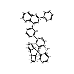 c1ccc(-c2cc(-c3cccc(-c4ccc5c(c4)C4(c6ccccc6O5)c5ccccc5-c5ccccc54)c3)c3ccccc3c2)cc1